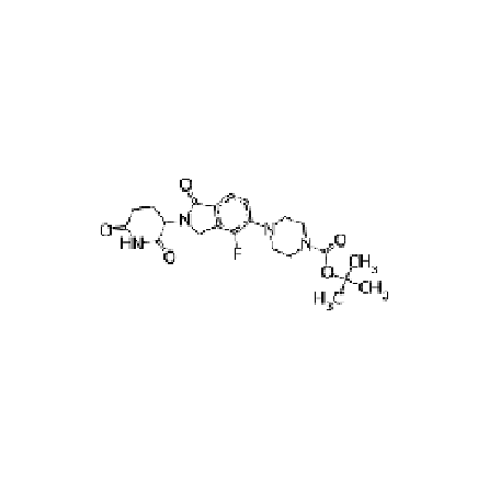 CC(C)(C)OC(=O)N1CCN(c2ccc3c(c2F)CN(C2CCC(=O)NC2=O)C3=O)CC1